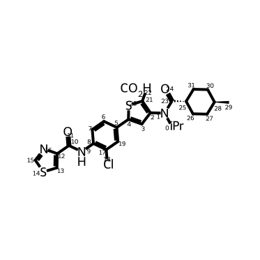 CC(C)N(c1cc(-c2ccc(NC(=O)c3cscn3)c(Cl)c2)sc1C(=O)O)C(=O)[C@H]1CC[C@H](C)CC1